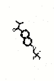 CC(C)C(=O)c1ccc2cc(OCC(F)(F)F)ccc2c1